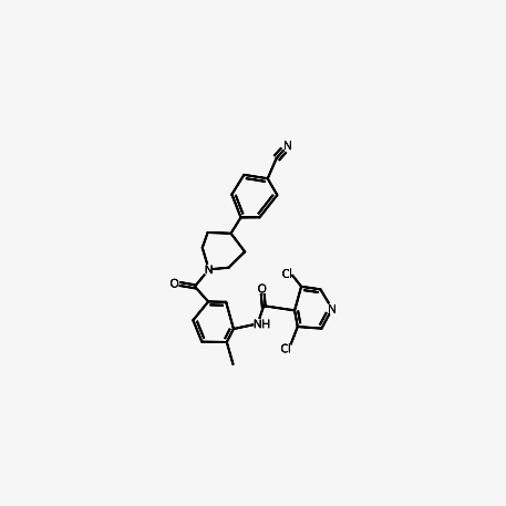 Cc1ccc(C(=O)N2CCC(c3ccc(C#N)cc3)CC2)cc1NC(=O)c1c(Cl)cncc1Cl